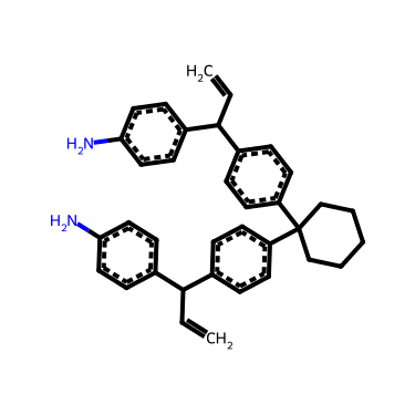 C=CC(c1ccc(N)cc1)c1ccc(C2(c3ccc(C(C=C)c4ccc(N)cc4)cc3)CCCCC2)cc1